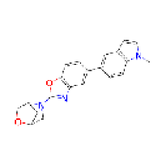 Cn1ccc2cc(-c3ccc4oc(N5CC6CC5CO6)nc4c3)ccc21